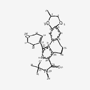 CC1COc2cc3c(cc2O1)-n1c(C2=CCOCC2)nc(C(=O)N(C)C(C)(C)C)c1CC3